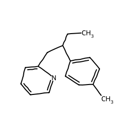 CCC(Cc1ccccn1)c1ccc(C)cc1